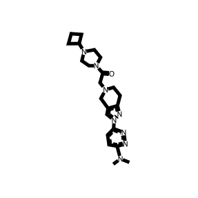 CN(C)c1ccc(-n2cc3c(n2)CCN(CC(=O)N2CCN(C4CCC4)CC2)C3)nn1